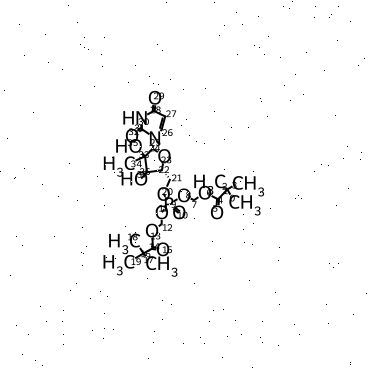 CC(C)(C)C(=O)OCOP(=O)(OCOC(=O)C(C)(C)C)OC[C@H]1O[C@@H](n2ccc(=O)[nH]c2=O)C(C)(O)C1O